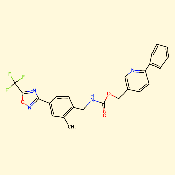 Cc1cc(-c2noc(C(F)(F)F)n2)ccc1CNC(=O)OCc1ccc(-c2ccccc2)nc1